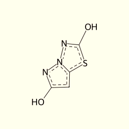 Oc1cc2sc(O)nn2n1